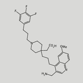 COc1ccc2ncc(CN)c(CCCC3(CC(=O)O)CCN(CCCc4cc(F)c(F)c(F)c4)CC3)c2c1